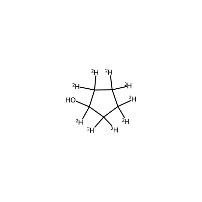 [2H]C1([2H])C([2H])([2H])C([2H])([2H])C([2H])(O)C1([2H])[2H]